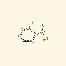 Cl[Si](Cl)c1ccccc1.F